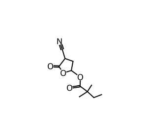 CCC(C)(C)C(=O)OC1CC(C#N)C(=O)O1